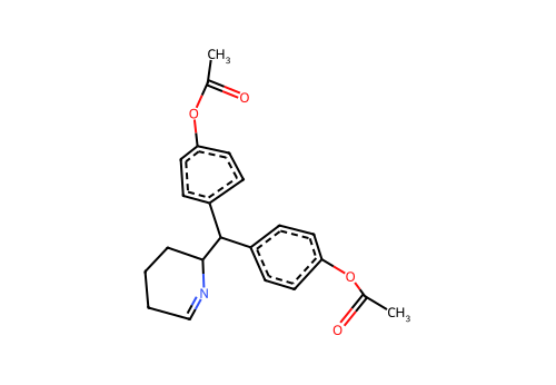 CC(=O)Oc1ccc(C(c2ccc(OC(C)=O)cc2)C2CCCC=N2)cc1